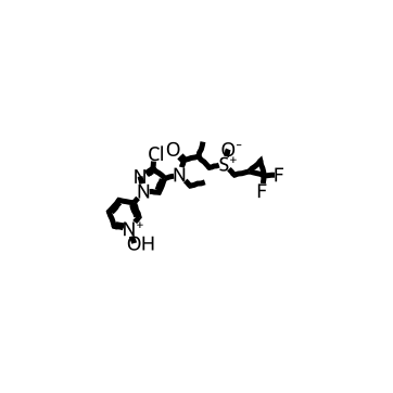 CCN(C(=O)C(C)C[S+]([O-])CC1CC1(F)F)c1cn(-c2ccc[n+](O)c2)nc1Cl